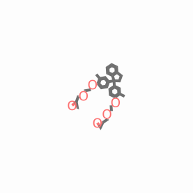 Cc1cc(C2(c3ccc(OCCOCC4CO4)c(C)c3)CCc3ccccc32)ccc1OCCOCC1CO1